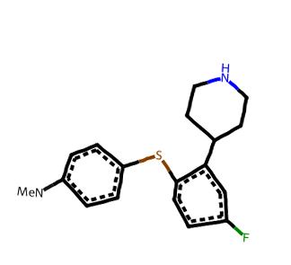 CNc1ccc(Sc2ccc(F)cc2C2CCNCC2)cc1